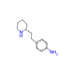 Nc1ccc(CCC2CCCCN2)cc1